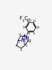 CN1C2CCC1CN(c1cccc(C(F)(F)F)c1)C2